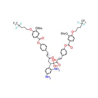 COc1cc(C(=O)Oc2ccc(/C=C/C(=O)CC(c3ccc(N)cc3N)C(O)(O)C(=O)/C=C/c3ccc(OC(=O)c4ccc(OCCCC(F)(F)C(F)(F)F)c(OC)c4)cc3)cc2)ccc1OCCCC(F)(F)C(F)(F)F